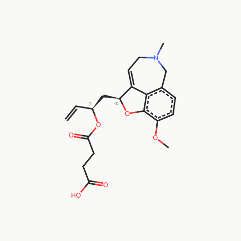 C=C[C@@H](C[C@@H]1Oc2c(OC)ccc3c2C1=CCN(C)C3)OC(=O)CCC(=O)O